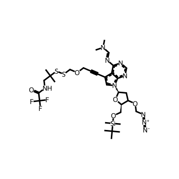 CN(C)/C=N/c1ncnc2c1c(C#CCOCSSC(C)(C)CNC(=O)C(F)(F)F)cn2[C@H]1CC(OCN=[N+]=[N-])[C@@H](CO[Si](C)(C)C(C)(C)C)O1